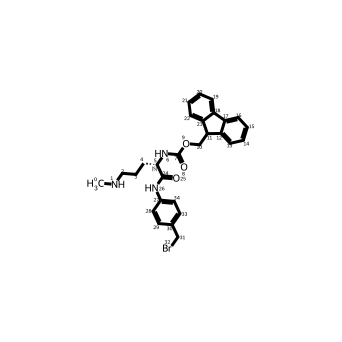 CNCCC[C@H](NC(=O)OCC1c2ccccc2-c2ccccc21)C(=O)Nc1ccc(CBr)cc1